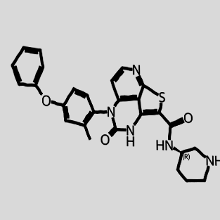 Cc1cc(Oc2ccccc2)ccc1N1C(=O)Nc2c(C(=O)N[C@@H]3CCCNC3)sc3nccc1c23